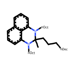 CCCCCCCCCCCCCC1(C)N(CCCCCCCC)c2cccc3cccc(c23)N1CCCCCCCC